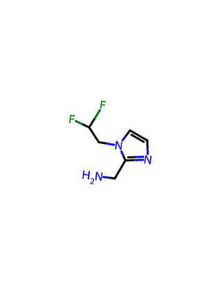 NCc1nccn1CC(F)F